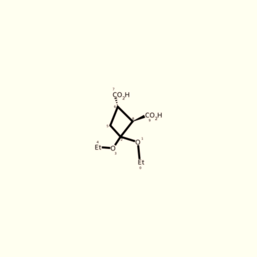 CCOC1(OCC)C[C@H](C(=O)O)[C@H]1C(=O)O